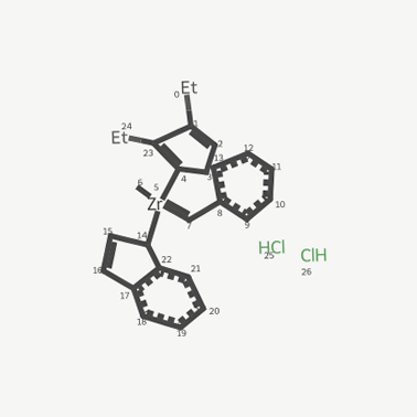 CCC1=CC[C]([Zr]([CH3])(=[CH]c2ccccc2)[CH]2C=Cc3ccccc32)=C1CC.Cl.Cl